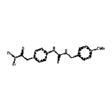 CCN(CC)C(=O)Cc1ccc(NC(=O)NCc2ccc(OC)cc2)cc1